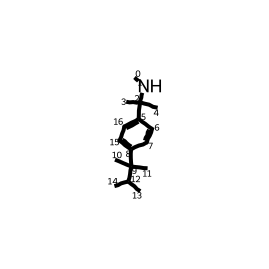 CNC(C)(C)c1ccc(C(C)(C)C(C)C)cc1